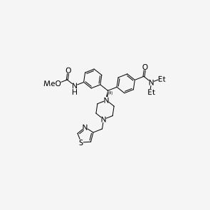 CCN(CC)C(=O)c1ccc([C@H](c2cccc(NC(=O)OC)c2)N2CCN(Cc3cscn3)CC2)cc1